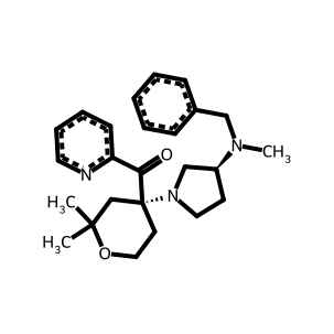 CN(Cc1ccccc1)[C@H]1CCN([C@]2(C(=O)c3ccccn3)CCOC(C)(C)C2)C1